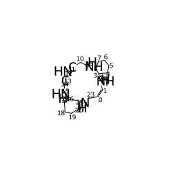 C1=C\N[C@@H]2CCCC[C@H]2NCCNCCN[C@@H]2CCCC[C@H]2/N=C/1